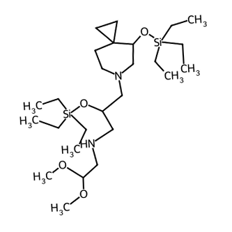 CC[Si](CC)(CC)OC(CNCC(OC)OC)CN1CCC2(CC2)C(O[Si](CC)(CC)CC)C1